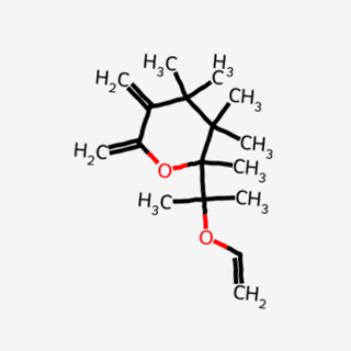 C=COC(C)(C)C1(C)OC(=C)C(=C)C(C)(C)C1(C)C